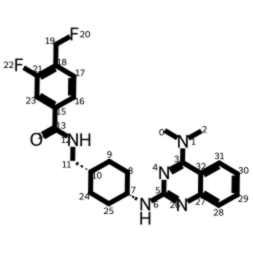 CN(C)c1nc(N[C@H]2CC[C@@H](CNC(=O)c3ccc(CF)c(F)c3)CC2)nc2ccccc12